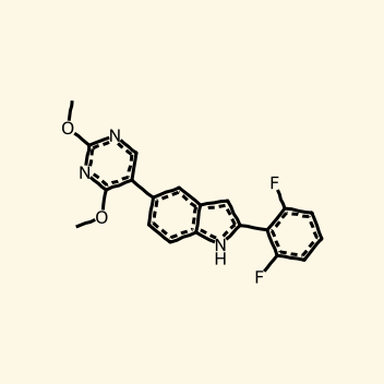 COc1ncc(-c2ccc3[nH]c(-c4c(F)cccc4F)cc3c2)c(OC)n1